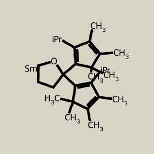 CC1=C(C)C(C)(C)C(C2(C3=C(C(C)C)C(C)=C(C)C3(C)C)CCCO2)=C1C(C)C.[Sm]